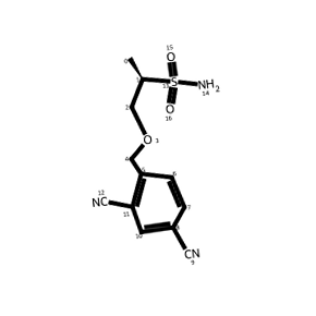 C[C@H](COCc1ccc(C#N)cc1C#N)S(N)(=O)=O